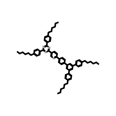 CCCCCCc1ccc(-c2cc(-c3ccc(CCCCCC)cc3)cc(-c3ccc(-c4ccc(-c5nc(-c6ccc(CCCCCC)cc6)nc(-c6ccc(CCCCCC)cc6)n5)cn4)cc3)c2)cc1